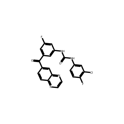 O=C(Nc1cc(F)cc(C(=O)c2ccc3nccnc3c2)c1)Nc1ccc(F)c(Cl)c1